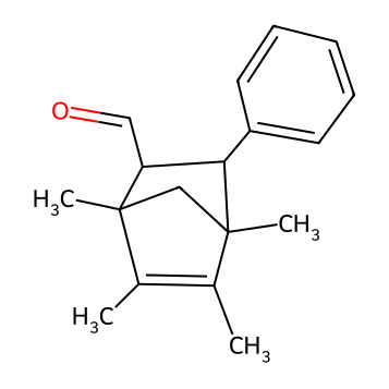 CC1=C(C)C2(C)CC1(C)C(C=O)C2c1ccccc1